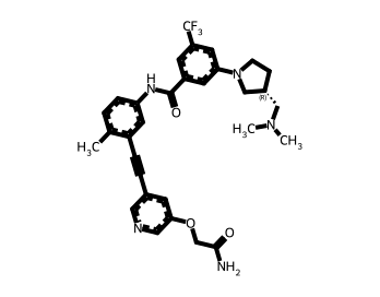 Cc1ccc(NC(=O)c2cc(N3CC[C@H](CN(C)C)C3)cc(C(F)(F)F)c2)cc1C#Cc1cncc(OCC(N)=O)c1